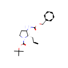 C=CC[C@@H]1C(NC(=O)OCc2ccccc2)CCN1C(=O)OC(C)(C)C